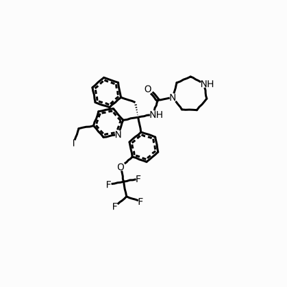 O=C(N[C@@](Cc1ccccc1)(c1cccc(OC(F)(F)C(F)F)c1)c1ccc(CI)cn1)N1CCCNCC1